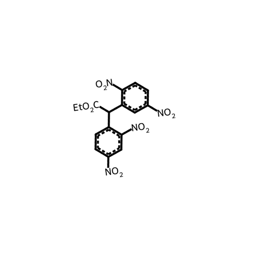 CCOC(=O)C(c1cc([N+](=O)[O-])ccc1[N+](=O)[O-])c1ccc([N+](=O)[O-])cc1[N+](=O)[O-]